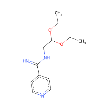 CCOC(CNC(=N)c1ccncc1)OCC